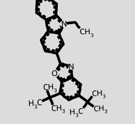 CCn1c2ccccc2c2ccc(-c3nc4cc(C(C)(C)C)cc(C(C)(C)C)c4o3)cc21